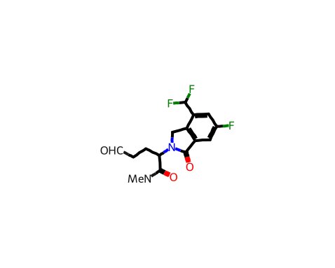 CNC(=O)C(CCC=O)N1Cc2c(cc(F)cc2C(F)F)C1=O